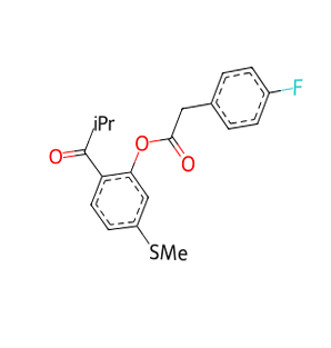 CSc1ccc(C(=O)C(C)C)c(OC(=O)Cc2ccc(F)cc2)c1